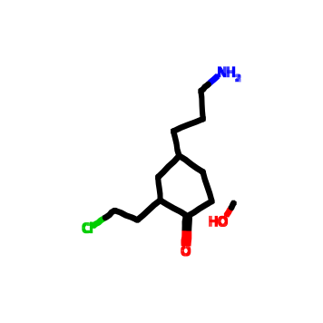 CO.NCCCC1CCC(=O)C(CCCl)C1